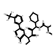 CCC(C(=N)C(=O)C(NC(=O)C(C)NC)C1CCCCC1)c1cc(-c2cccc(C(F)(F)F)c2)cnc1Cl